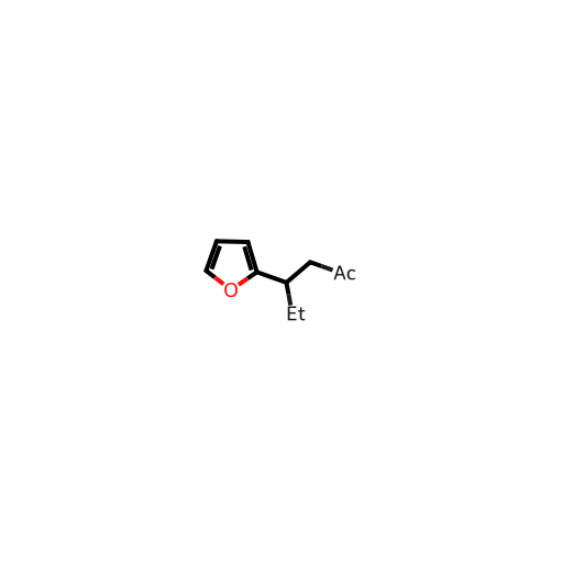 CCC(CC(C)=O)c1ccco1